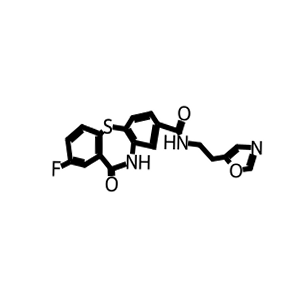 O=C(NCCc1cnco1)c1ccc2c(c1)NC(=O)c1cc(F)ccc1S2